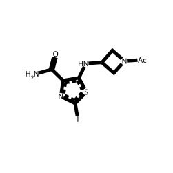 CC(=O)N1CC(Nc2sc(I)nc2C(N)=O)C1